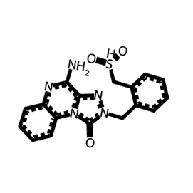 Nc1nc2ccccc2n2c(=O)n(Cc3ccccc3C[SH](=O)=O)nc12